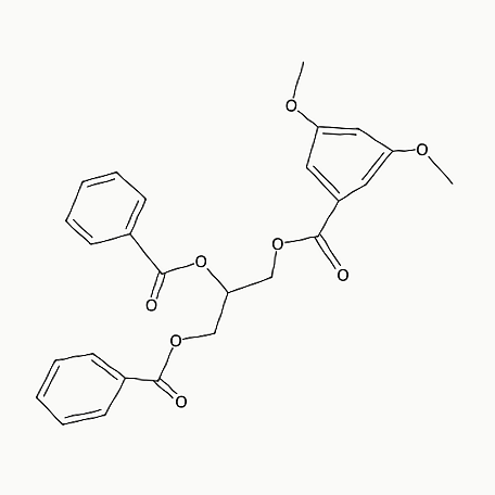 COc1cc(OC)cc(C(=O)OCC(COC(=O)c2ccccc2)OC(=O)c2ccccc2)c1